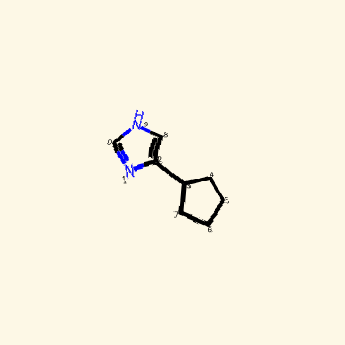 [c]1nc(C2CCCC2)c[nH]1